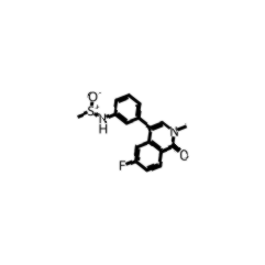 Cn1cc(-c2cccc(N[S+](C)[O-])c2)c2cc(F)ccc2c1=O